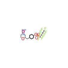 O=S(=O)(Oc1ccc(CC2C[NH+]([O-])CCO2)cc1)C(F)(F)C(F)(F)C(F)(F)C(F)(F)F